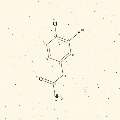 NC(=O)Cc1ccc(Cl)c(F)c1